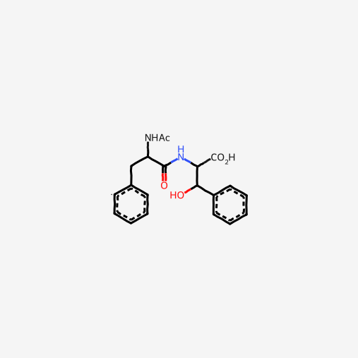 CC(=O)NC(Cc1[c]cccc1)C(=O)NC(C(=O)O)C(O)c1ccccc1